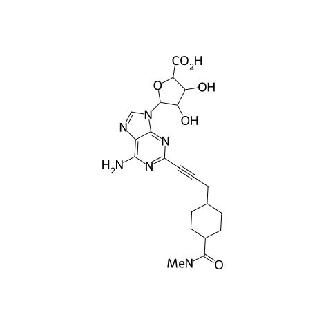 CNC(=O)C1CCC(CC#Cc2nc(N)c3ncn(C4OC(C(=O)O)C(O)C4O)c3n2)CC1